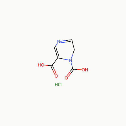 Cl.O=C(O)C1=CN=CCN1C(=O)O